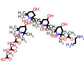 CC(=O)O.CC(=O)O.CC(=O)O.CC(=O)O.CC1(C)CC(O)CC(C)(C)N1O.CC1(C)CC(O)CC(C)(C)N1O.CC1(C)CC(O)CC(C)(C)N1O.CC1(C)CC(O)CC(C)(C)N1O.NCCN